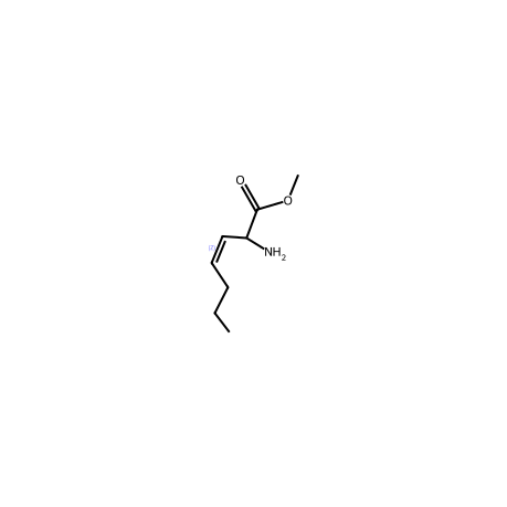 CCC/C=C\C(N)C(=O)OC